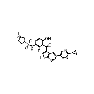 O=C(c1c(O)ccc(NS(=O)(=O)N2CC[C@@H](F)C2)c1F)c1c[nH]c2ncc(-c3cnc(C4CC4)nc3)cc12